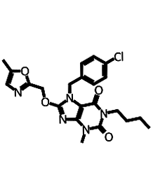 CCCCn1c(=O)c2c(nc(OCc3ncc(C)o3)n2Cc2ccc(Cl)cc2)n(C)c1=O